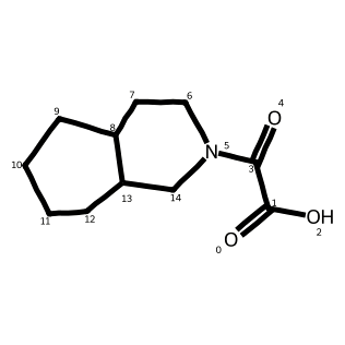 O=C(O)C(=O)N1CCC2CCCCC2C1